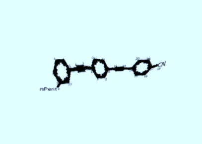 CCCCCc1cccc(C#Cc2ccc(C#Cc3ccc(C#N)cc3)cc2)c1